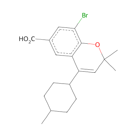 CC1CCC(C2=CC(C)(C)Oc3c(Br)cc(C(=O)O)cc32)CC1